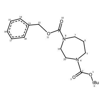 CC(C)(C)OC(=O)N1CCCN(C(=O)OCc2ccccc2)CC1